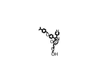 CC(C)c1ccc(COc2ccc(-c3c(-c4ccncc4)nn4c3C(=O)N(CCOCCO)CC4)cc2)cc1